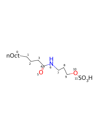 CCCCCCCCCCCC(=O)NCCCOS(=O)(=O)O